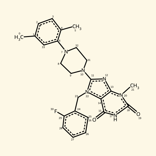 Cc1ccc(C)c(N2CCN(c3nc4c(c(=O)[nH]c(=O)n4C)n3Cc3ccccc3F)CC2)c1